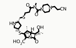 C[C@@H](O)[C@H]1C(=O)N2C(C(=O)O)=C(S[C@@H]3CN[C@H](CSCCC(=O)N(C)C(=O)N4CCN(CCC#N)CC4)C3)[C@H](C)[C@H]12